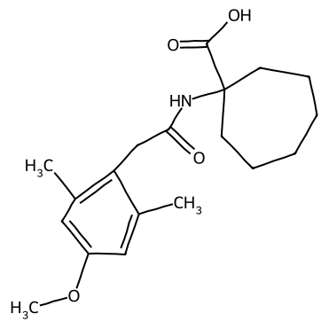 COc1cc(C)c(CC(=O)NC2(C(=O)O)CCCCCC2)c(C)c1